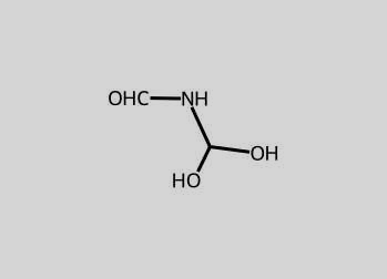 O=CNC(O)O